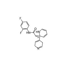 O=C(C[C@]1(C2=CCN=CC2)C=CC=CN1)Nc1ccc(F)cc1F